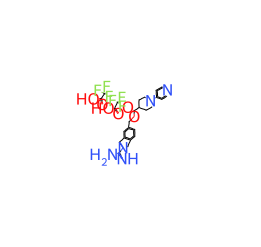 N=C(N)N1Cc2ccc(COC(=O)C3CCN(c4ccncc4)CC3)cc2C1.O=C(O)C(F)(F)F.O=C(O)C(F)(F)F